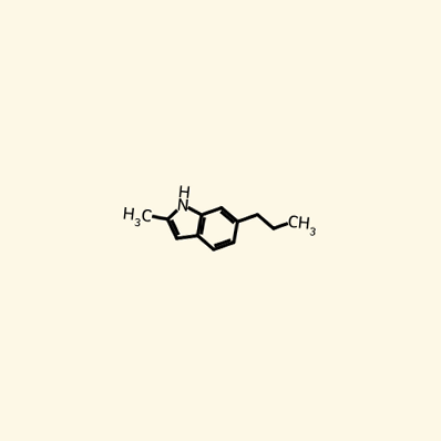 CCCc1ccc2cc(C)[nH]c2c1